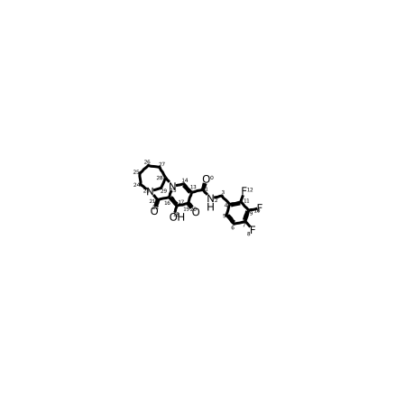 O=C(NCc1ccc(F)c(F)c1F)c1cn2c(c(O)c1=O)C(=O)N1CCCCC2C1